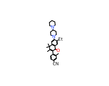 CCc1cc2c(cc1N1CCC(N3CCCCC3)CC1)C(C)(C)C(C)=C(c1ccc(C#N)cc1C)C2=O